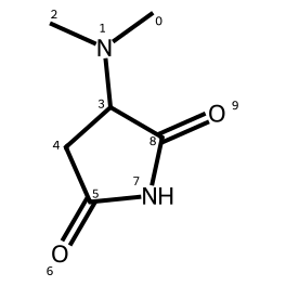 CN(C)C1CC(=O)NC1=O